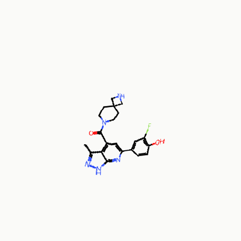 Cc1n[nH]c2nc(-c3ccc(O)c(F)c3)cc(C(=O)N3CCC4(CC3)CNC4)c12